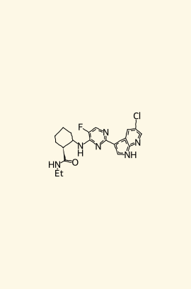 CCNC(=O)[C@H]1CCCCC1Nc1nc(-c2c[nH]c3ncc(Cl)cc23)ncc1F